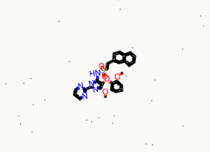 COc1ccccc1Oc1c(NS(=O)(=O)C=Cc2ccc3ccccc3c2)nc(-c2ncccn2)nc1OC